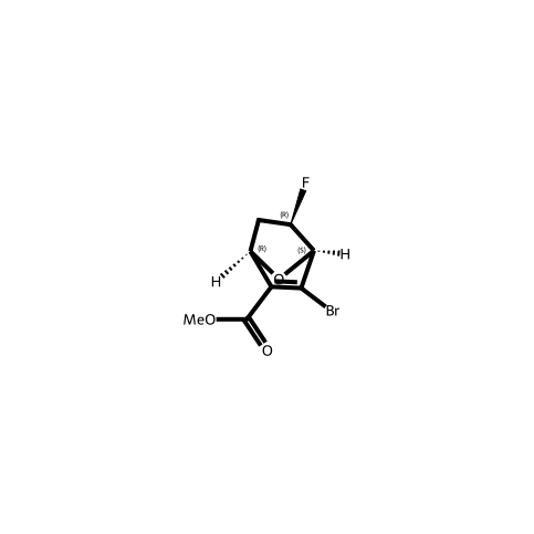 COC(=O)C1=C(Br)[C@H]2O[C@@H]1C[C@H]2F